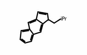 CC(C)C[C]1C=Cc2cc3ccccc3cc21